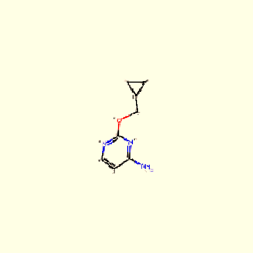 Nc1ccnc(OCC2CC2)n1